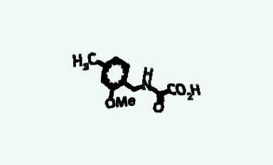 COc1cc(C)ccc1CNC(=O)C(=O)O